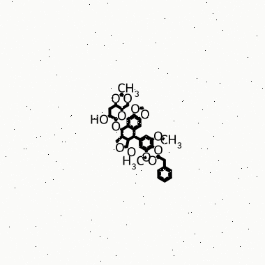 COc1cc(C2c3cc4c(cc3C(OC3OC5COC(C)OC5CC3O)C3COC(=O)C23)OCO4)cc(OC)c1OC(=O)Cc1ccccc1